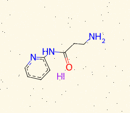 I.NCCC(=O)Nc1ccccn1